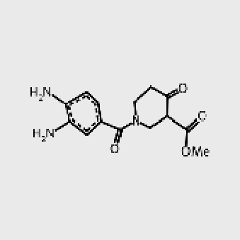 COC(=O)C1CN(C(=O)c2ccc(N)c(N)c2)CCC1=O